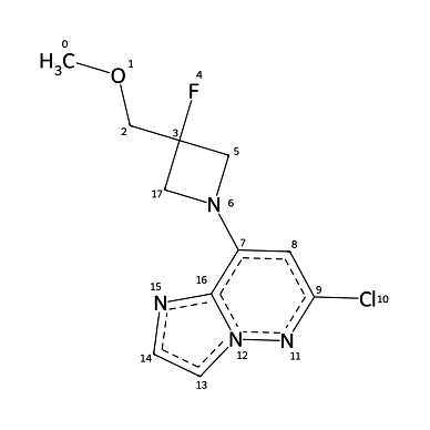 COCC1(F)CN(c2cc(Cl)nn3ccnc23)C1